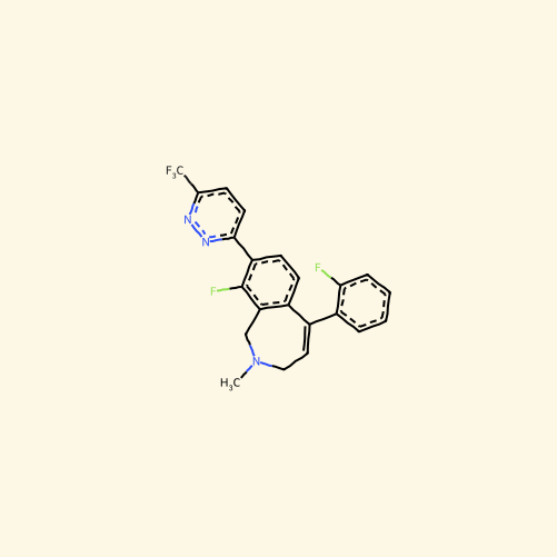 CN1CC=C(c2ccccc2F)c2ccc(-c3ccc(C(F)(F)F)nn3)c(F)c2C1